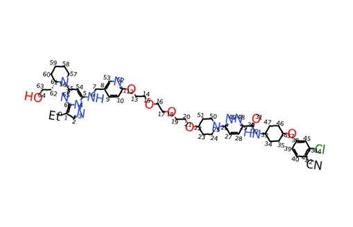 CCc1cnn2c(NCc3ccc(OCCOCCOCCOC4CCN(c5ccc(C(=O)NC6CCC(Oc7ccc(C#N)c(Cl)c7)CC6)nn5)CC4)nc3)cc(N3CCCC[C@H]3CCO)nc12